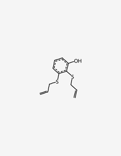 C=CCSc1cccc(O)c1SCC=C